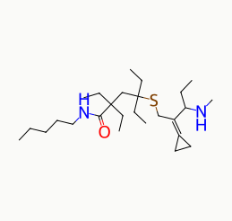 CCCCCNC(=O)C(CC)(CC)CC(CC)(CC)SCC(=C1CC1)C(CC)NC